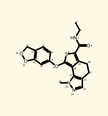 CCNC(=O)c1sc(Oc2ccc3c(c2)OOC3)c2c1CCc1cnn(C)c1-2